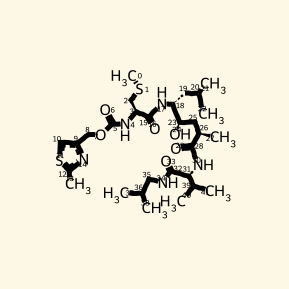 CSC[C@H](NC(=O)OCc1csc(C)n1)C(=O)N[C@H](CC(C)C)[C@@H](O)C[C@@H](C)C(=O)N[C@@H](C(=O)NCC(C)C)C(C)C